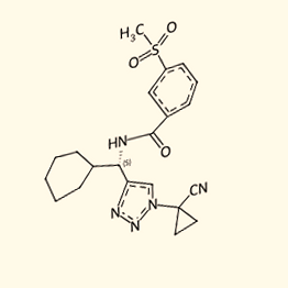 CS(=O)(=O)c1cccc(C(=O)N[C@H](c2cn(C3(C#N)CC3)nn2)C2CCCCC2)c1